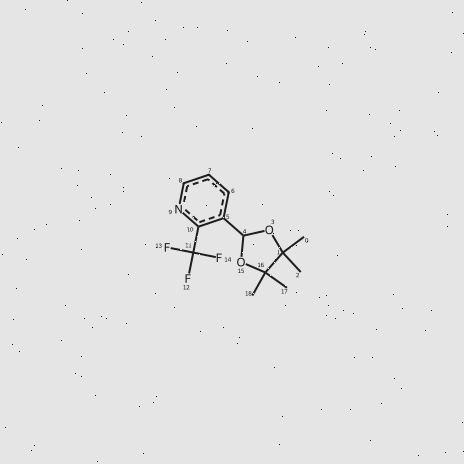 CC1(C)OC(c2cccnc2C(F)(F)F)OC1(C)C